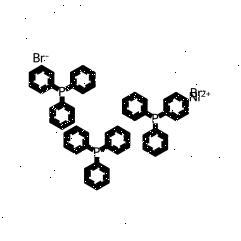 [Br-].[Br-].[Ni+2].c1ccc(P(c2ccccc2)c2ccccc2)cc1.c1ccc(P(c2ccccc2)c2ccccc2)cc1.c1ccc(P(c2ccccc2)c2ccccc2)cc1